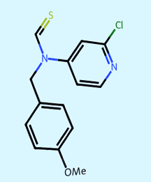 COc1ccc(CN(C=S)c2ccnc(Cl)c2)cc1